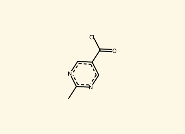 Cc1ncc(C(=O)Cl)cn1